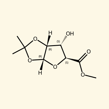 COC(=O)[C@H]1O[C@@H]2OC(C)(C)O[C@@H]2[C@@H]1O